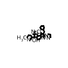 Cc1ccc(C(O)(c2ccc3nc(-n4cccn4)c(Cc4ccccc4)c(Cl)c3c2)c2cncn2C)cn1